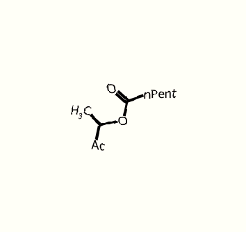 CCCCCC(=O)OC(C)C(C)=O